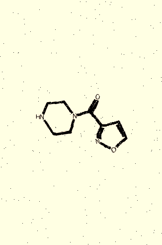 O=C(c1ccon1)N1CCNCC1